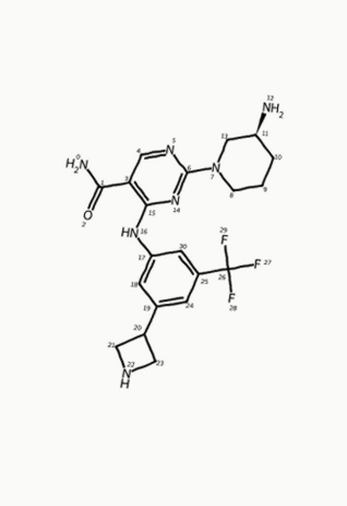 NC(=O)c1cnc(N2CCC[C@H](N)C2)nc1Nc1cc(C2CNC2)cc(C(F)(F)F)c1